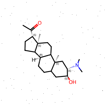 CC(=O)[C@H]1CCC2[C@@H]3CCC4C[C@H](O)[C@@H](N(C)C)C[C@]4(C)C3CC[C@@]21C